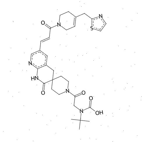 CC(C)(C)N(CC(=O)N1CCC2(CC1)Cc1cc(C=CC(=O)N3CC=C(Cc4nccs4)CC3)cnc1NC2=O)C(=O)O